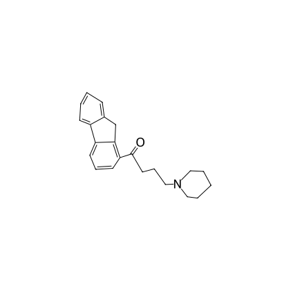 O=C(CCCN1CCCCC1)c1cccc2c1Cc1ccccc1-2